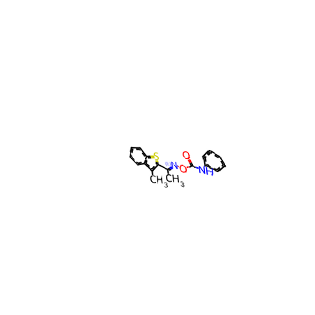 C/C(=N\OC(=O)Nc1ccccc1)c1sc2ccccc2c1C